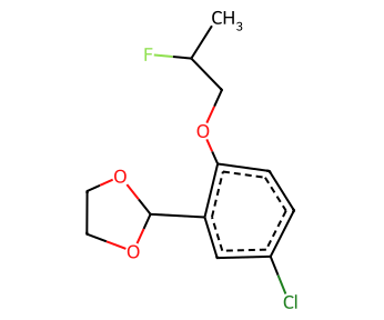 CC(F)COc1ccc(Cl)cc1C1OCCO1